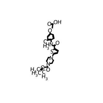 Cc1cc(OCC(=O)O)ccc1NC(=O)c1ccc(N2CCN(C(=O)OC(C)(C)C)CC2)s1